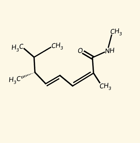 CNC(=O)/C(C)=C\C=C\[C@H](C)C(C)C